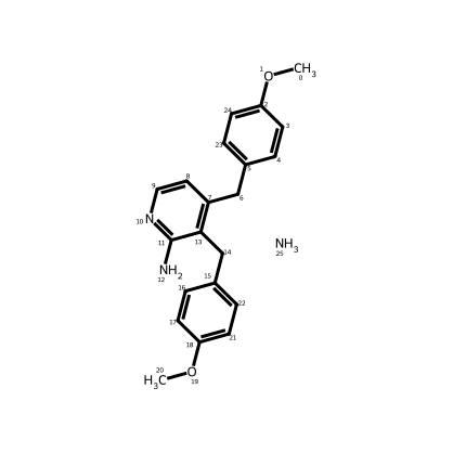 COc1ccc(Cc2ccnc(N)c2Cc2ccc(OC)cc2)cc1.N